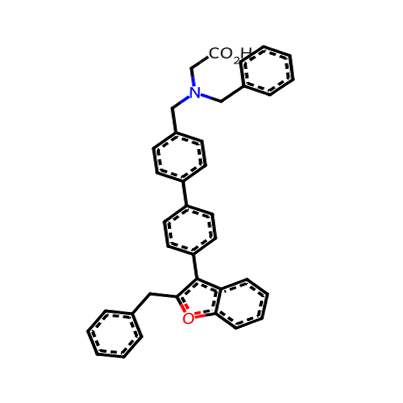 O=C(O)CN(Cc1ccccc1)Cc1ccc(-c2ccc(-c3c(Cc4ccccc4)oc4ccccc34)cc2)cc1